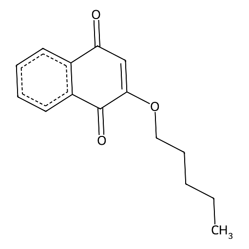 CCCCCOC1=CC(=O)c2ccccc2C1=O